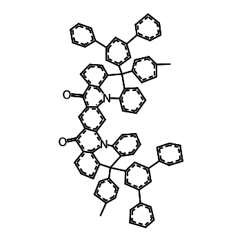 Cc1ccc(C2(c3cc(-c4ccccc4)cc(-c4ccccc4)c3)c3ccccc3-n3c4cc5c(cc4c(=O)c4cccc2c43)c(=O)c2cccc3c2n5-c2ccccc2C3(c2ccc(C)cc2)c2cc(-c3ccccc3)cc(-c3ccccc3)c2)cc1